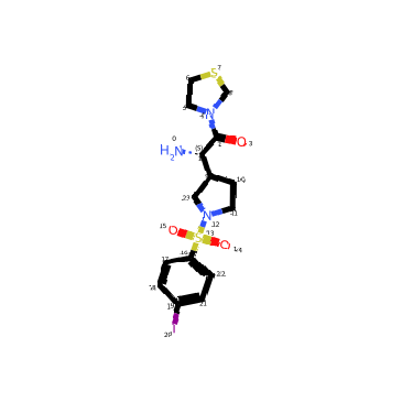 N[C@H](C(=O)N1CCSC1)C1CCN(S(=O)(=O)c2ccc(I)cc2)C1